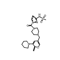 C=C(Cl)/C(=C\C(=C/C)CN1CCN(C(=O)n2ccc(NS(C)(=O)=O)n2)CC1)N1CCCCC1